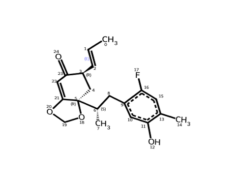 C/C=C/[C@H]1C[C@]2([C@@H](C)Cc3cc(O)c(C)cc3F)OCOC2=CC1=O